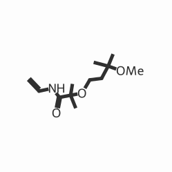 C=CNC(=O)C(C)(C)OCCC(C)(C)OC